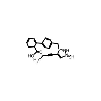 CCC#CC1=CN(S)NN1Cc1ccc(-c2ccccc2C(=O)O)cc1